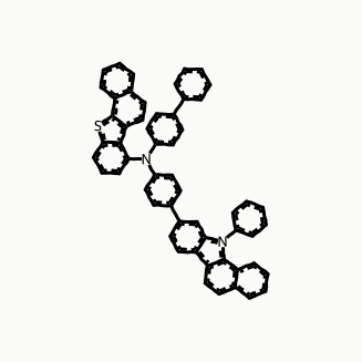 c1ccc(-c2ccc(N(c3ccc(-c4ccc5c6ccc7ccccc7c6n(-c6ccccc6)c5c4)cc3)c3cccc4sc5c6ccccc6ccc5c34)cc2)cc1